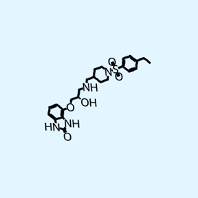 CCc1ccc(S(=O)(=O)N2CCC(CNC[C@@H](O)COc3cccc4[nH]c(=O)[nH]c34)CC2)cc1